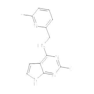 Fc1cccc(CNc2nc(Cl)nc3[nH]ccc23)n1